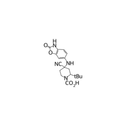 CC(C)(C)C1CC(C#N)(Nc2ccc3[nH]c(=O)oc3c2)CCN1C(=O)O